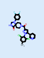 O=C(c1cc(-c2cccnc2)n(-c2c(Cl)cc(C(F)(F)F)cc2Cl)n1)N1CCC2(CC1)C(=O)NCN2c1ccc(F)c(F)c1